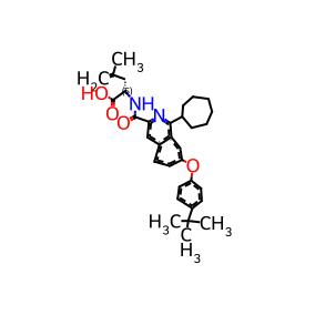 C=C(C)C[C@H](NC(=O)c1cc2ccc(Oc3ccc(C(C)(C)C)cc3)cc2c(C2CCCCCC2)n1)C(=O)O